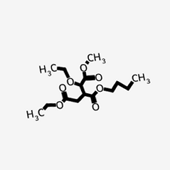 CCCCOC(=O)C(CC(=O)OCC)C(OCC)C(=O)OC